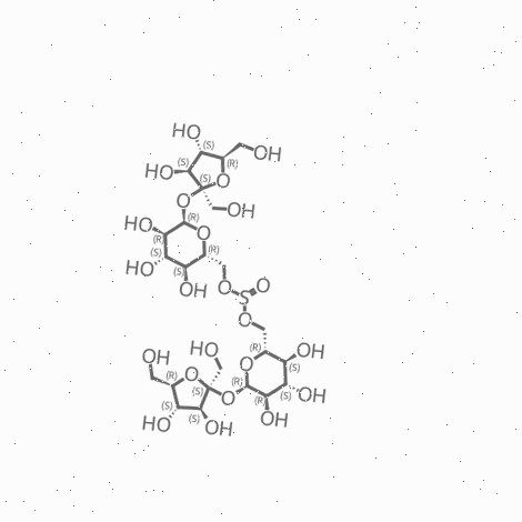 O=S(OC[C@H]1O[C@H](O[C@]2(CO)O[C@H](CO)[C@@H](O)[C@@H]2O)[C@H](O)[C@@H](O)[C@@H]1O)OC[C@H]1O[C@H](O[C@]2(CO)O[C@H](CO)[C@@H](O)[C@@H]2O)[C@H](O)[C@@H](O)[C@@H]1O